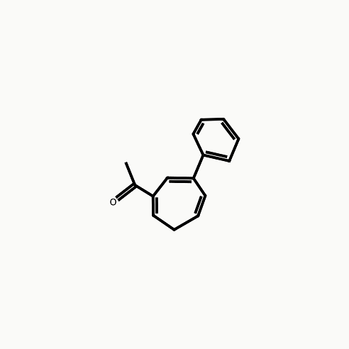 CC(=O)C1=CCC=CC(c2ccccc2)=C1